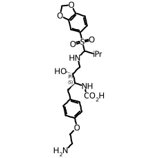 CC(C)C(NC[C@@H](O)[C@H](Cc1ccc(OCCN)cc1)NC(=O)O)S(=O)(=O)c1ccc2c(c1)OCO2